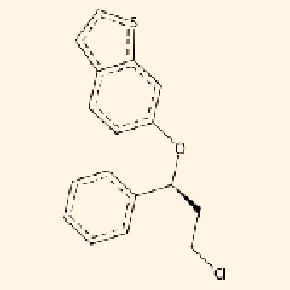 ClCC[C@H](Oc1ccc2ccsc2c1)c1ccccc1